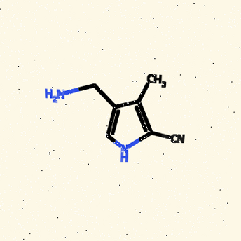 Cc1c(CN)c[nH]c1C#N